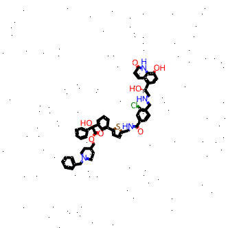 O=C(NCc1ccc(-c2cccc(C(O)(C(=O)OCC3CCN(Cc4ccccc4)CC3)c3ccccc3)c2)s1)c1ccc(CNC[C@H](O)c2ccc(O)c3[nH]c(=O)ccc23)c(Cl)c1